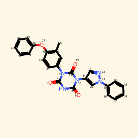 Cc1cc(-n2c(=O)[nH]c(=O)n(-c3cnn(-c4ccccc4)c3)c2=O)ccc1Oc1ccccc1